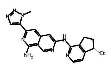 CC[C@H]1CCc2c1ccnc2Nc1cc2cc(-c3cnnn3C)nc(N)c2cn1